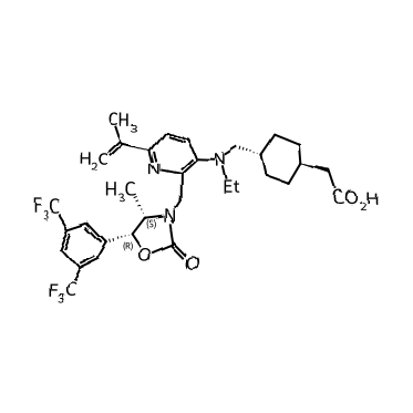 C=C(C)c1ccc(N(CC)C[C@H]2CC[C@H](CC(=O)O)CC2)c(CN2C(=O)O[C@H](c3cc(C(F)(F)F)cc(C(F)(F)F)c3)[C@@H]2C)n1